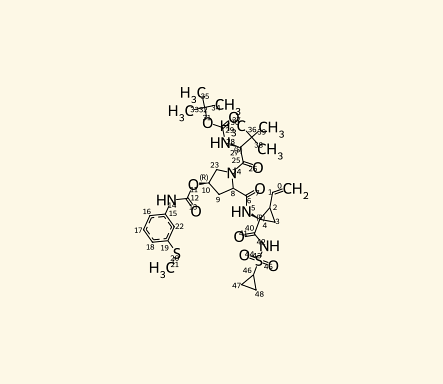 C=CC1C[C@]1(NC(=O)C1C[C@@H](OC(=O)Nc2cccc(SC)c2)CN1C(=O)[C@@H](NC(=O)OC(C)(C)C)C(C)(C)C)C(=O)NS(=O)(=O)C1CC1